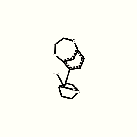 OC1(c2ccc3cc2OCCO3)CN2CCC1CC2